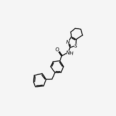 O=C(Nc1nc2c(s1)CCCC2)c1ccc(Cc2ccccc2)cc1